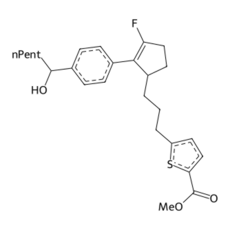 CCCCCC(O)c1ccc(C2=C(F)CCC2CCCc2ccc(C(=O)OC)s2)cc1